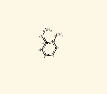 Cn1cccnc1=NN